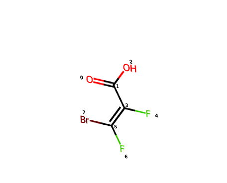 O=C(O)C(F)=C(F)Br